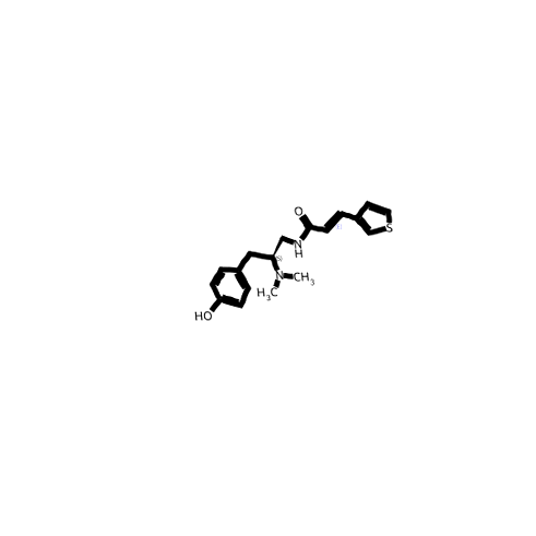 CN(C)[C@H](CNC(=O)/C=C/c1ccsc1)Cc1ccc(O)cc1